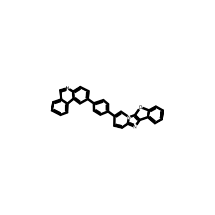 c1ccc2c(c1)cnc1ccc(-c3ccc(-c4ccc5nc6c7ccccc7oc6n5c4)cc3)cc12